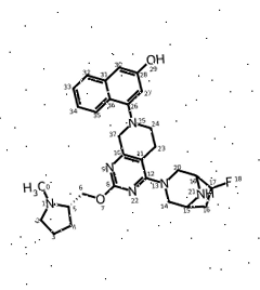 CN1CCC[C@H]1COc1nc2c(c(N3CC4CC(F)C(C3)N4)n1)CCN(c1cc(O)cc3ccccc13)C2